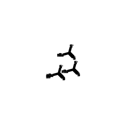 CCCCC(=S)[S-].CCCCC(=S)[S-].CCCCC(=S)[S-].[Sb+3]